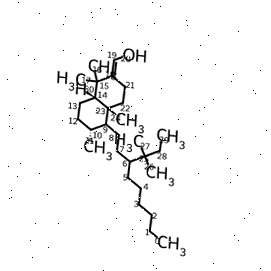 CCCCCCC(CCC1[C@H](C)CC[C@@H]2C(C)(C)/C(=C/O)CCC12C)C(C)(C)CC